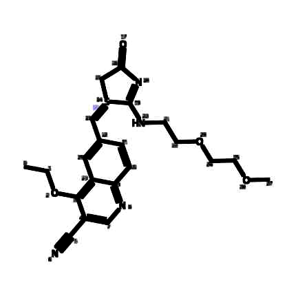 CCOc1c(C#N)cnc2ccc(/C=S3/CC(=O)N=C3NCCOCCOC)cc12